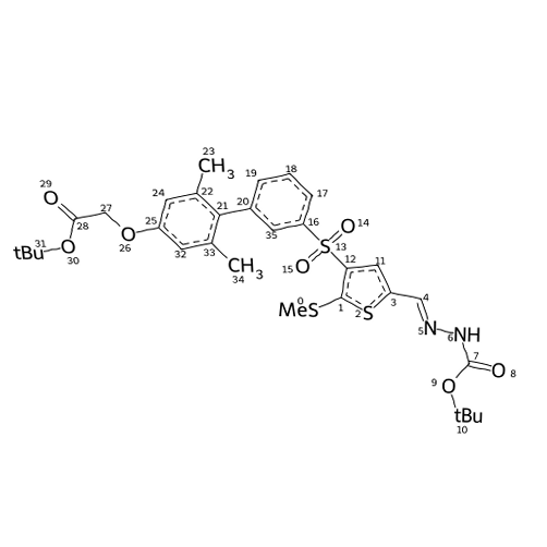 CSc1sc(C=NNC(=O)OC(C)(C)C)cc1S(=O)(=O)c1cccc(-c2c(C)cc(OCC(=O)OC(C)(C)C)cc2C)c1